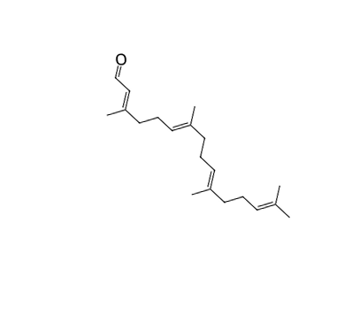 CC(C)=CCCC(C)=CCCC(C)=CCCC(C)=CC=O